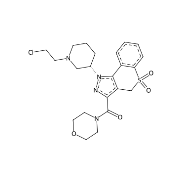 O=C(c1nn([C@H]2CCCN(CCCl)C2)c2c1CS(=O)(=O)c1ccccc1-2)N1CCOCC1